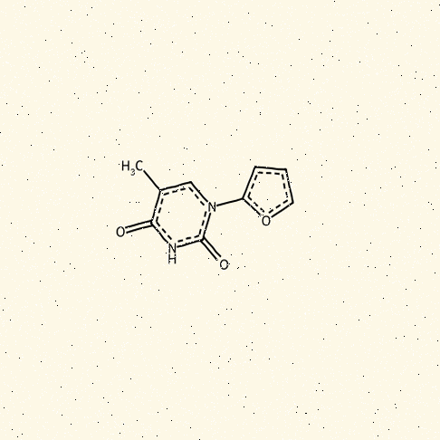 Cc1cn(-c2ccco2)c(=O)[nH]c1=O